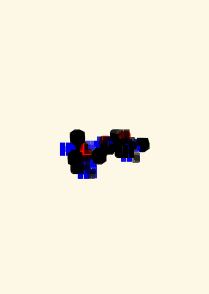 Cc1ccc(NC(=O)c2ccccc2)cc1NC(=O)Nc1ccc2c(c1)NC(=O)C2=Cc1[nH]c(C)c(C(=O)NCCN2CCCC2)c1C